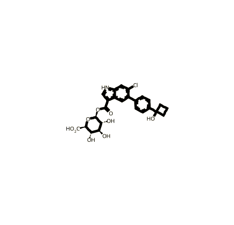 O=C(O[C@@H]1O[C@H](C(=O)O)[C@@H](O)[C@H](O)[C@H]1O)c1c[nH]c2cc(Cl)c(-c3ccc(C4(O)CCC4)cc3)cc12